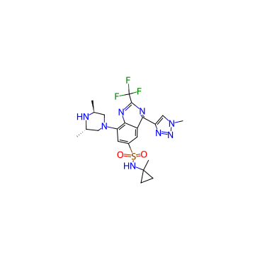 C[C@H]1CN(c2cc(S(=O)(=O)NC3(C)CC3)cc3c(-c4cn(C)nn4)nc(C(F)(F)F)nc23)C[C@H](C)N1